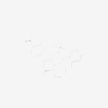 C=CC(=O)N1C(C)CN(c2nc(=O)n3c4c(c(-c5ncc(F)cc5F)c(C(F)(F)F)cc24)SCCC3)CC1C